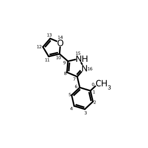 Cc1ccccc1-c1cc(-c2ccco2)[nH]n1